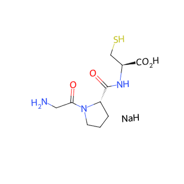 NCC(=O)N1CCC[C@H]1C(=O)N[C@@H](CS)C(=O)O.[NaH]